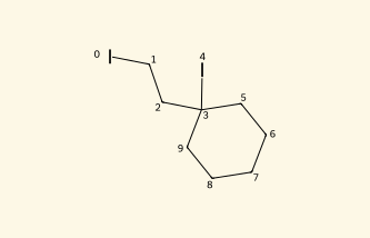 ICCC1(I)CCCCC1